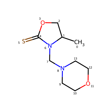 CC1COC(=S)N1CN1CCOCC1